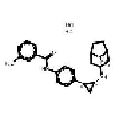 CN1C2CCC1CC(N[C@@H]1C[C@H]1c1ccc(NC(=O)c3cccc(C(F)(F)F)c3)cc1)C2.Cl.Cl